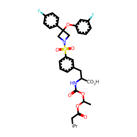 CC(C)CC(=O)OC(C)OC(=O)NC(Cc1cccc(S(=O)(=O)N2CC(Oc3cccc(F)c3)(c3ccc(F)cc3)C2)c1)C(=O)O